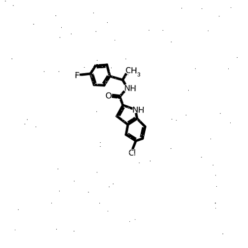 CC(NC(=O)c1cc2cc(Cl)ccc2[nH]1)c1ccc(F)cc1